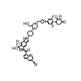 CC(C)(O)c1cc2nn(C3CCC(N4CCN(CC5CN(c6cc(F)c([C@H]7CCC(=O)NC7=O)c(F)c6)C5)C[C@@H]4CO)CC3)cc2cc1NC(=O)c1ccc2cc(C#N)cnn12